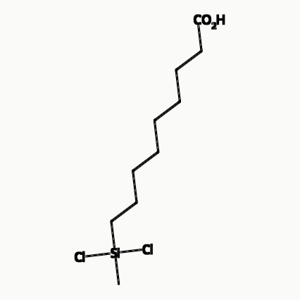 C[Si](Cl)(Cl)CCCCCCCCC(=O)O